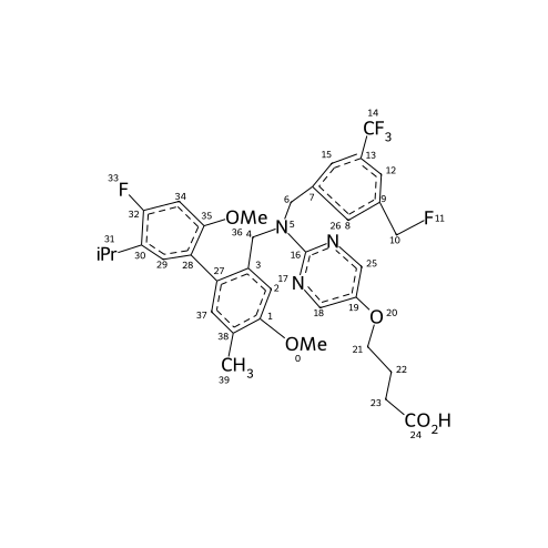 COc1cc(CN(Cc2cc(CF)cc(C(F)(F)F)c2)c2ncc(OCCCC(=O)O)cn2)c(-c2cc(C(C)C)c(F)cc2OC)cc1C